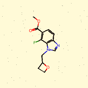 COC(=O)c1ccc2ncn(CC3CCO3)c2c1F